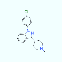 CN1CCC(c2nn(-c3ccc(Cl)cc3)c3ccccc23)CC1